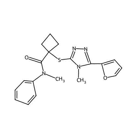 CN(C(=O)C1(Sc2nnc(-c3ccco3)n2C)CCC1)c1ccccc1